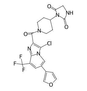 O=C(c1nc2c(C(F)(F)F)cc(-c3ccoc3)cn2c1Cl)N1CCC(N2C(=O)CNC2=O)CC1